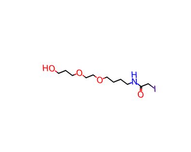 O=C(CI)NCCCCOCCOCCCO